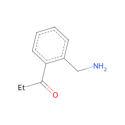 CCC(=O)c1ccccc1CN